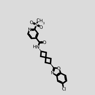 CS(=O)(=O)c1cc(C(=O)N[C@H]2CC3(C2)C[C@H](c2nc4cc(Cl)ccc4o2)C3)ccn1